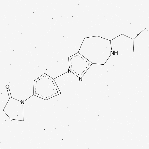 CC(C)CC1CCc2cn(-c3ccc(N4CCCC4=O)cc3)nc2CN1